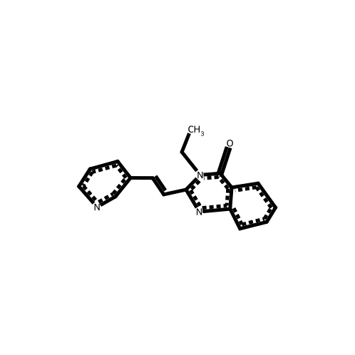 CCn1c(C=Cc2cccnc2)nc2ccccc2c1=O